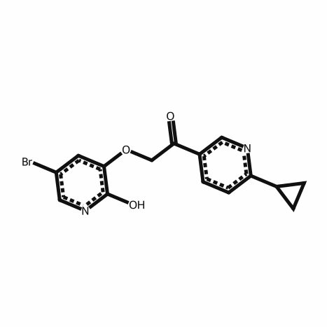 O=C(COc1cc(Br)cnc1O)c1ccc(C2CC2)nc1